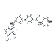 COc1cccc([C@@H](C)NC2CC[C@H](c3ccc(C(=O)NC4CCNCC4)cc3)C2)c1OC